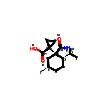 CC(C)[C@@H]1CC[C@H](C)C[C@]1(C(N)=O)C1(C(=O)O)CC1